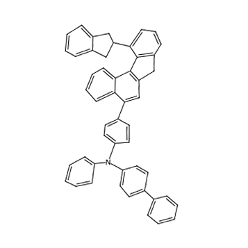 c1ccc(-c2ccc(N(c3ccccc3)c3ccc(-c4cc5c(c6ccccc46)-c4c(cccc4C4Cc6ccccc6C4)C5)cc3)cc2)cc1